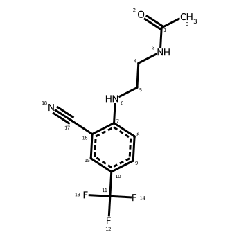 CC(=O)NCCNc1ccc(C(F)(F)F)cc1C#N